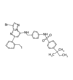 CCC(C)(C)c1ccc(S(=O)(=O)Nc2ccc(CNc3cc(-c4ccccc4CI)nc4c(Br)cnn34)cc2)cc1